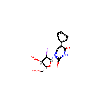 O=c1[nH]c(=O)n([C@@H]2O[C@H](CO)[C@@H](O)C2I)cc1-c1ccccc1